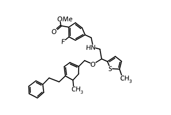 COC(=O)c1ccc(CNCC(OCC2=CC=C(CCc3ccccc3)C(C)C2)c2ccc(C)s2)cc1F